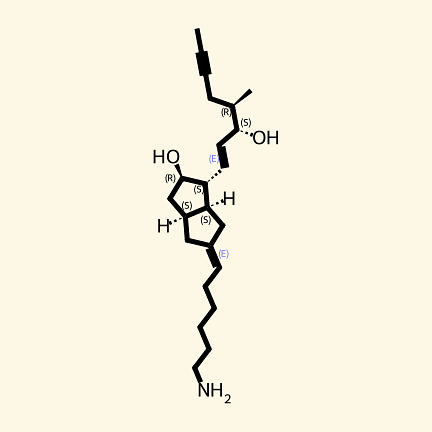 CC#CC[C@@H](C)[C@H](O)/C=C/[C@@H]1[C@H]2C/C(=C/CCCCCN)C[C@H]2C[C@H]1O